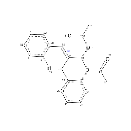 CC(=O)OC(OC(C)=O)/C(=C/c1ccccc1Cl)Cc1ccccc1